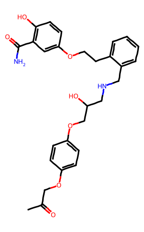 CC(=O)COc1ccc(OCC(O)CNCc2ccccc2CCOc2ccc(O)c(C(N)=O)c2)cc1